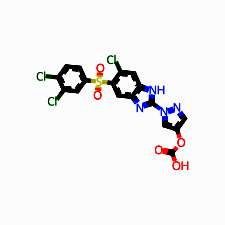 O=C(O)Oc1cnn(-c2nc3cc(S(=O)(=O)c4ccc(Cl)c(Cl)c4)c(Cl)cc3[nH]2)c1